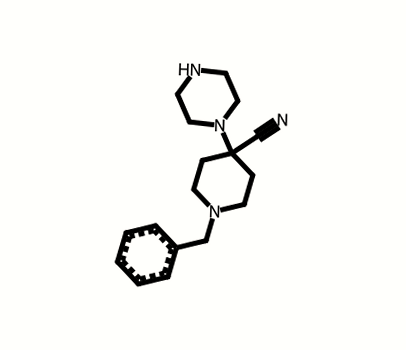 N#CC1(N2CCNCC2)CCN(Cc2ccccc2)CC1